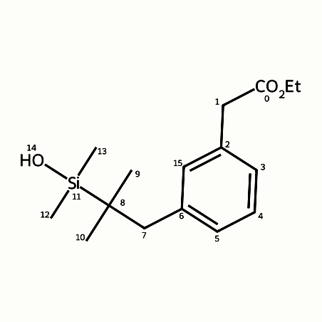 CCOC(=O)Cc1cccc(CC(C)(C)[Si](C)(C)O)c1